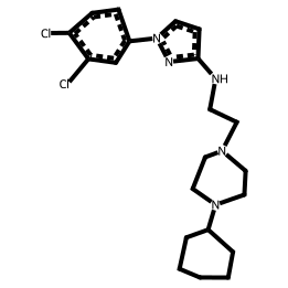 Clc1ccc(-n2ccc(NCCN3CCN(C4CCCCC4)CC3)n2)cc1Cl